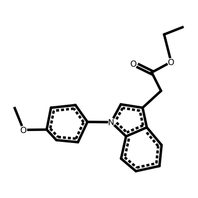 CCOC(=O)Cc1cn(-c2ccc(OC)cc2)c2ccccc12